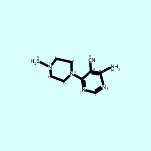 BN1CCN(c2ncnc(N)c2C#N)CC1